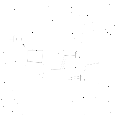 O[C@H]1C[C@H](Oc2cnc(Cl)nc2)C1